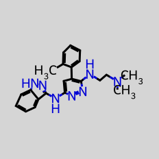 Cc1ccccc1-c1cc(Nc2n[nH]c3ccccc23)nnc1NCCN(C)C